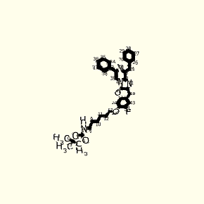 CC(C)(C)OC(=O)NCCCCCCOc1ccc(CC2N=C3C(Cc4ccccc4)=NC(c4ccccc4)=CN3C2=O)cc1F